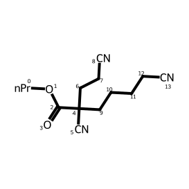 CCCOC(=O)C(C#N)(CCC#N)CCCCC#N